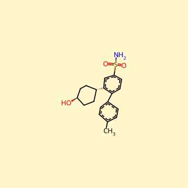 Cc1ccc(-c2ccc(S(N)(=O)=O)cc2[C@H]2CC[C@H](O)CC2)cc1